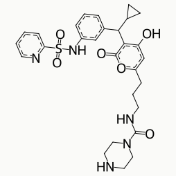 O=C(NCCCc1cc(O)c(C(c2cccc(NS(=O)(=O)c3ccccn3)c2)C2CC2)c(=O)o1)N1CCNCC1